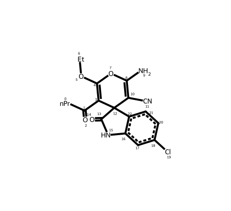 CCCC(=O)C1=C(OCC)OC(N)=C(C#N)C12C(=O)Nc1cc(Cl)ccc12